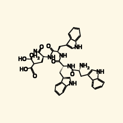 NC(=O)[C@H](CC(C(=O)O)C(=O)O)NC(=O)[C@@H](Cc1c[nH]c2ccccc12)NC(=O)[C@@H](Cc1c[nH]c2ccccc12)NC(=O)[C@H](N)Cc1c[nH]c2ccccc12